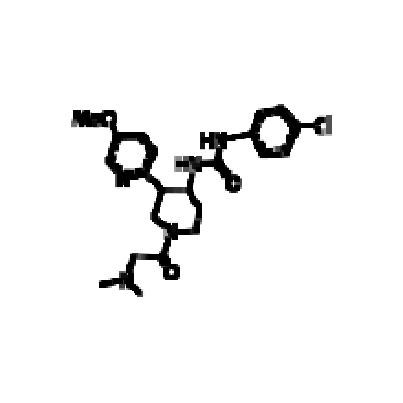 COc1ccc(C2CN(C(=O)CN(C)C)CCC2NC(=O)Nc2ccc(Cl)cc2)nc1